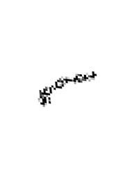 CN(C(=O)OC(C)(C)C)c1ccc(C=Cc2ccc(OCCOCCOCCOCCF)cc2)cc1